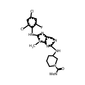 CNC(=O)N1CCCC(Nc2ncc3nc(Nc4c(F)cc(Cl)cc4Cl)n(C)c3n2)C1